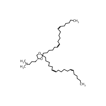 CCCCC/C=C\CCCC/C=C\CCCCCC1(CCCCC/C=C\CCCC/C=C\CCCCC)OC[C@H](CCCN(C)C)O1